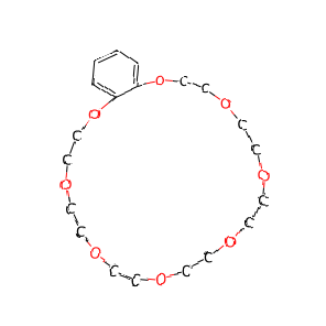 c1ccc2c(c1)OCCOCCOCCOCCOCCOCCOCCO2